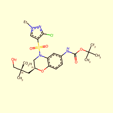 CCn1cc(S(=O)(=O)N2C[C@H](C[C@](C)(CO)C(=O)O)Oc3ccc(NC(=O)OC(C)(C)C(F)(F)F)cc32)c(Cl)n1